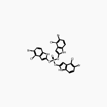 O=P(Oc1cc2c(Cl)c(Br)ccc2[nH]1)(Oc1cc2c(Cl)c(Br)ccc2[nH]1)Oc1cc2c(Cl)c(Br)ccc2[nH]1